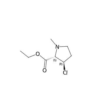 CCOC(=O)[C@H]1[C@H](Cl)CCN1C